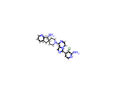 Nc1nccc(-c2ncc3c(N4CCC5(CC4)Cc4cccnc4[C@H]5N)nccn23)c1Cl